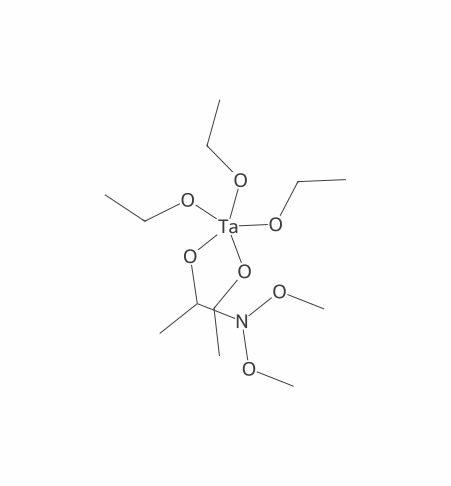 CC[O][Ta]([O]CC)([O]CC)([O]CC)[O]C(C)N(OC)OC